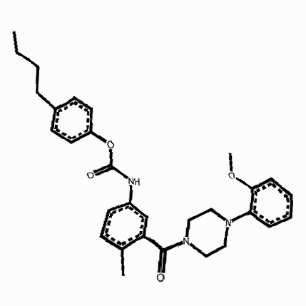 CCCCc1ccc(OC(=O)Nc2ccc(C)c(C(=O)N3CCN(c4ccccc4OC)CC3)c2)cc1